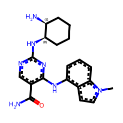 Cn1ccc2c(Nc3nc(N[C@@H]4CCCC[C@@H]4N)ncc3C(N)=O)cccc21